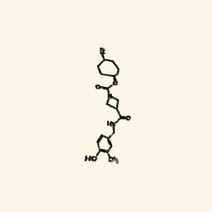 CC[C@H]1CC[C@@H](OC(=O)N2CC(C(=O)NCc3ccc(O)c(C)c3)C2)CC1